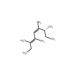 CC/C(C)=C(C)/C=C(/N)[C@H](C)CC